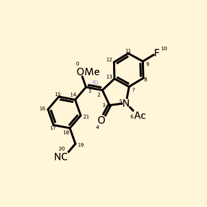 CO/C(=C1/C(=O)N(C(C)=O)c2cc(F)ccc21)c1cccc(CC#N)c1